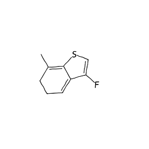 CC1=c2scc(F)c2=CCC1